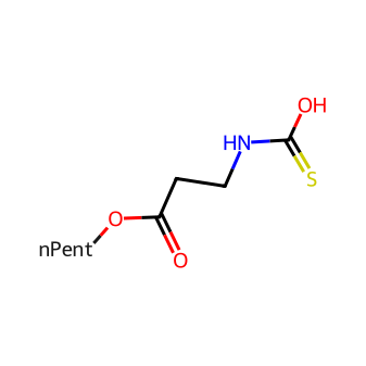 CCCCCOC(=O)CCNC(O)=S